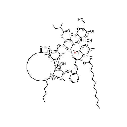 CCCCCCCCCCCC(=O)O[C@@H]1[C@@H](OC(=O)/C=C/c2ccccc2)[C@@H](O)[C@H](O[C@@H]2[C@@H](O[C@@H]3O[C@H](CO)[C@@H](O)[C@H](O)[C@H]3O)[C@@H](OC(=O)C(C)CC)[C@H](O[C@@H]3[C@@H](O)[C@H]4OC(=O)CCCCCCCCC[C@H](CCCCC)O[C@@H]5O[C@H](C)[C@H](O)[C@H](O)[C@H]5O[C@@H]4O[C@H]3C)O[C@H]2C)O[C@H]1C